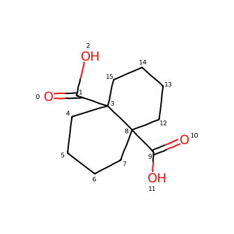 O=C(O)C12CCCCC1(C(=O)O)CCCC2